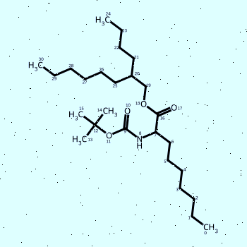 CCCCCCCC(NC(=O)OC(C)(C)C)C(=O)OCC(CCCC)CCCCCC